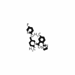 Cc1ccc(-n2nccn2)c(C(=O)N2CC(COc3ccc(F)cn3)CCC2C)c1